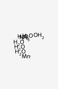 N.O.O.O.O.O.O.[Mn]